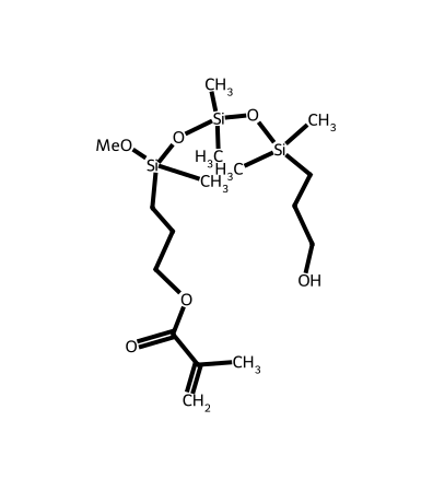 C=C(C)C(=O)OCCC[Si](C)(OC)O[Si](C)(C)O[Si](C)(C)CCCO